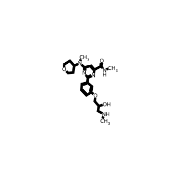 CNCC(O)COc1cccc(-c2nc(C(=O)NC)cc(N(C)C3CCOCC3)n2)c1